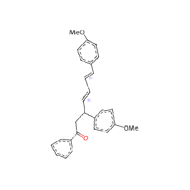 COc1ccc(/C=C/C=C/C(CC(=O)c2ccccc2)c2ccc(OC)cc2)cc1